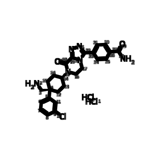 Cl.Cl.NC[C@]1(c2cccc(Cl)c2)CC[C@H](N2CCn3c(nnc3-c3ccc(C(N)=O)cc3)C2=O)CC1